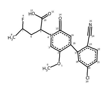 COc1cn(C(CC(C)F)C(=O)O)c(=O)cc1-c1cc(Cl)ccc1C#N